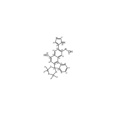 CC1(C)CC(C)(C)CC2(C1)c1ccccc1-c1c2cc(O)c2cc(-c3ccc[nH]3)c(CO)cc12